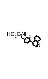 NC(Cc1ccc(-c2ccnc3ccccc23)cc1)C(=O)O